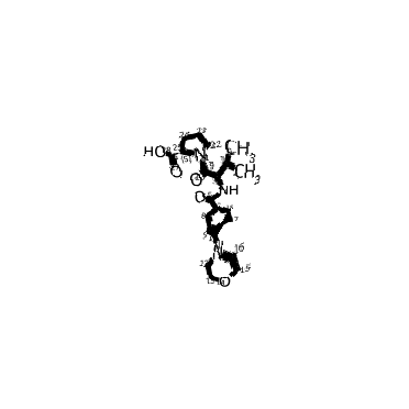 CC(C)C(NC(=O)c1ccc(N2CCOCC2)cc1)C(=O)N1CCC[C@H]1C(=O)O